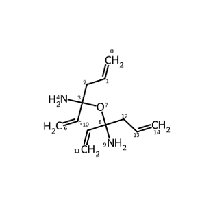 C=CCC(N)(C=C)OC(N)(C=C)CC=C